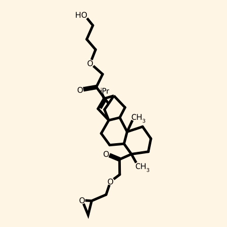 CC(C)C1=CC23CCC4C(C)(C(=O)COCC5CO5)CCCC4(C)C2CC1C(C(=O)COCCCO)C3